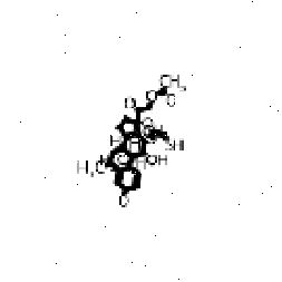 CC(=O)OCC(=O)[C@@]1(OC(=O)CS)CC[C@H]2[C@@H]3CC(C)C4=CC(=O)C=C[C@]4(C)[C@H]3C(O)C[C@@]21C